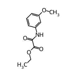 CCOC(=O)C(=O)Nc1cccc(OC)c1